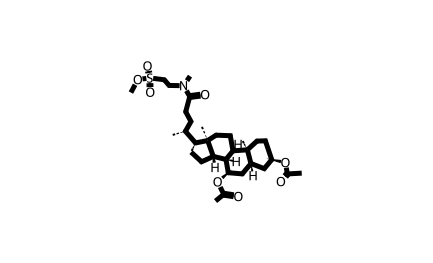 COS(=O)(=O)CCN(C)C(=O)CC[C@@H](C)[C@H]1CC[C@H]2[C@@H]3[C@H](OC(C)=O)C[C@@H]4C[C@H](OC(C)=O)CC[C@]4(C)[C@H]3CC[C@]12C